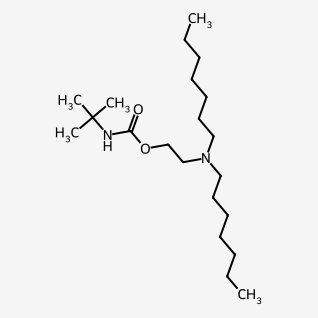 CCCCCCCN(CCCCCCC)CCOC(=O)NC(C)(C)C